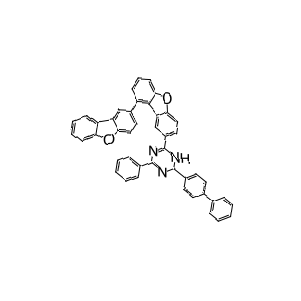 c1ccc(C2=NC(c3ccc(-c4ccccc4)cc3)NC(c3ccc4oc5cccc(-c6ccc7oc8ccccc8c7c6)c5c4c3)=N2)cc1